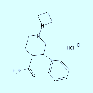 Cl.Cl.NC(=O)C1CCN(N2CCC2)CC1c1ccccc1